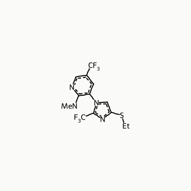 CCSc1cn(-c2cc(C(F)(F)F)cnc2NC)c(C(F)(F)F)n1